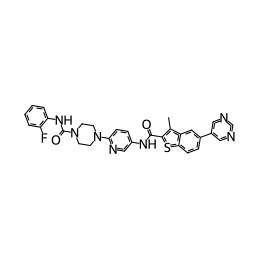 Cc1c(C(=O)Nc2ccc(N3CCN(C(=O)Nc4ccccc4F)CC3)nc2)sc2ccc(-c3cncnc3)cc12